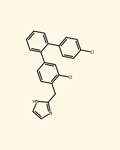 Clc1ccc(-c2ccccc2-c2ccc(Cc3ncc[nH]3)c(Cl)c2)cc1